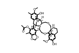 COc1cc2c(cc1O)CCN[C@]21CSCC2[C@@H]3c4c(cc(C)c(OC)c4O)CC(O)(CN3C)N2[C@H](c2c(C)c(OC(C)=O)c(C)c3c2OCO3)COC1=O